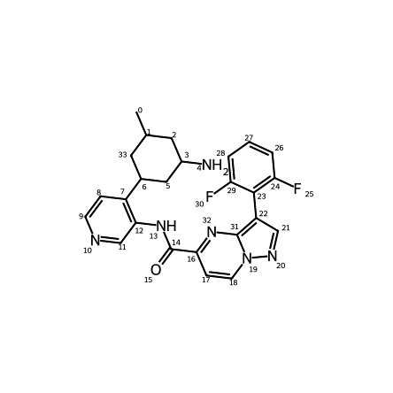 CC1CC(N)CC(c2ccncc2NC(=O)c2ccn3ncc(-c4c(F)cccc4F)c3n2)C1